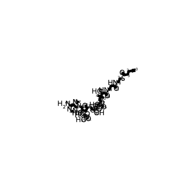 C#CCCC(=O)SCCNC(=O)CCNC(=O)[C@H](O)C(C)(C)COP(=O)(O)OP(=O)(O)OC[C@H]1O[C@@H](n2cnc3c(N)ncnc32)[C@H](O)[C@@H]1OP(=O)(O)O